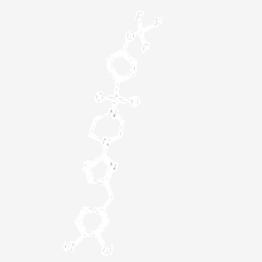 O=S(=O)(c1ccc(OC(F)(F)F)cc1)N1CCN(c2nc(Cc3ccc(Cl)c(Cl)c3)cs2)CC1